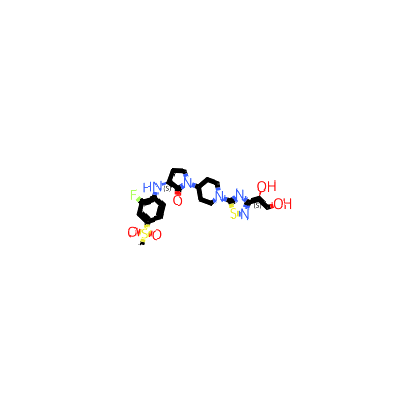 CS(=O)(=O)c1ccc(N[C@H]2CCN(C3CCN(c4nc([C@H](O)CO)ns4)CC3)C2=O)c(F)c1